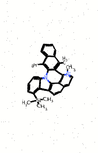 Cc1c2ccccc2c(C(C)C)c2c1c1c3c(ccc4c5c([Si](C)(C)C)cccc5n2c43)cc[n+]1C